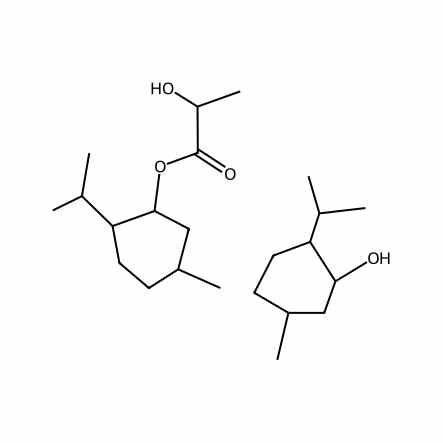 CC1CCC(C(C)C)C(O)C1.CC1CCC(C(C)C)C(OC(=O)C(C)O)C1